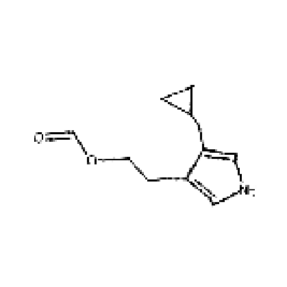 O=COCCc1c[nH]cc1C1CC1